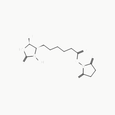 C[C@@H]1NC(=O)N(C)[C@@H]1CCCCCC(=O)ON1C(=O)CCC1=O